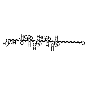 O=CCCCCCCCCCCCCC(=O)N[C@@H](CCC(=O)NC(CCC(=O)N[C@@H](CCC(=O)NC(CCC(=O)NCCCCC(C=O)NP)C(=O)O)C(=O)O)C(=O)O)C(=O)O